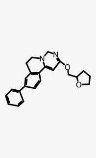 C1=C2c3ccc(-c4ccccc4)cc3CCN2CN=C1OCC1CCCO1